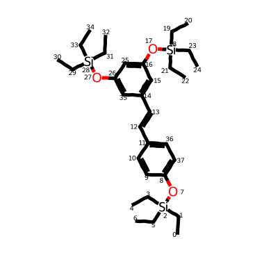 CC[Si](CC)(CC)Oc1ccc(/C=C/c2cc(O[Si](CC)(CC)CC)cc(O[Si](CC)(CC)CC)c2)cc1